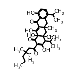 CCCC(C)(C)CC(=O)C1=C(O)C(C(C)C)[C@@]2(C)C[C@@]3(C)Cc4c(C(C)C)ccc(O)c4C(=O)C3=C(O)[C@@]2(O)C1=O